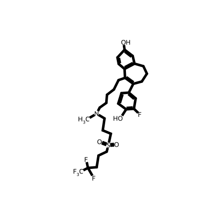 CN(CCCCCC1=C(c2ccc(O)c(F)c2)CCCc2cc(O)ccc21)CCCS(=O)(=O)CCCC(F)(F)C(F)(F)F